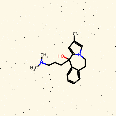 CN(C)CCCC1(O)c2ccccc2CCn2cc(C#N)cc21